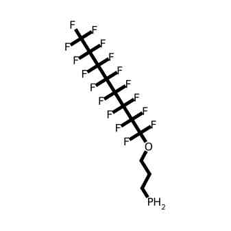 FC(F)(F)C(F)(F)C(F)(F)C(F)(F)C(F)(F)C(F)(F)C(F)(F)C(F)(F)OCCCP